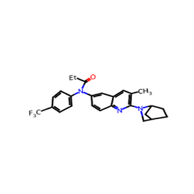 CCC(=O)N(c1ccc(C(F)(F)F)cc1)c1ccc2nc(N3CC4CCC3C4)c(C)cc2c1